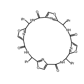 CC(C)C1NC(=O)c2coc(n2)C(C(C)C)NC(=O)c2coc(n2)C(C(C)C)NC(=O)c2coc(n2)C(C(C)C)NC(=O)c2coc1n2